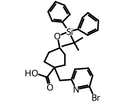 CC(C)(C)[Si](OC1CCC(Cc2cccc(Br)n2)(C(=O)O)CC1)(c1ccccc1)c1ccccc1